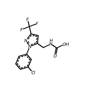 O=C(O)NCc1cc(C(F)(F)F)nn1-c1cccc(Cl)c1